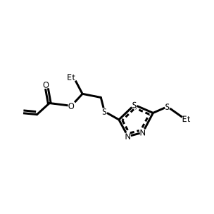 C=CC(=O)OC(CC)CSc1nnc(SCC)s1